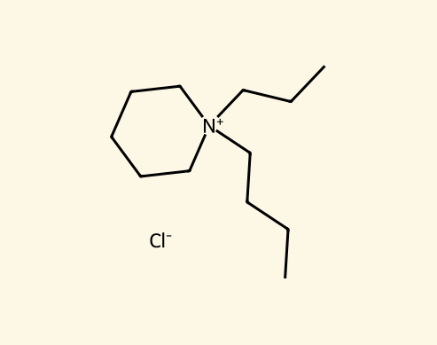 CCCC[N+]1(CCC)CCCCC1.[Cl-]